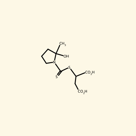 CC1(O)CCCN1C(=S)SC(CC(=O)O)C(=O)O